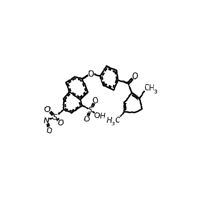 CC1=CC(C(=O)c2ccc(Oc3ccc4cc(S(=O)(=O)N=O)cc(S(=O)(=O)O)c4c3)cc2)=C(C)CC1